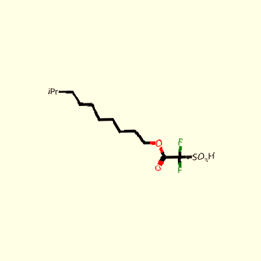 CC(C)CCCCCCCCOC(=O)C(F)(F)S(=O)(=O)O